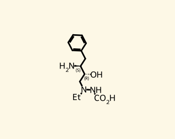 CCN(C[C@@H](O)[C@@H](N)Cc1ccccc1)NC(=O)O